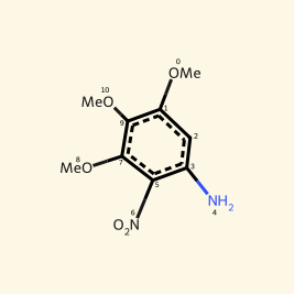 COc1cc(N)c([N+](=O)[O-])c(OC)c1OC